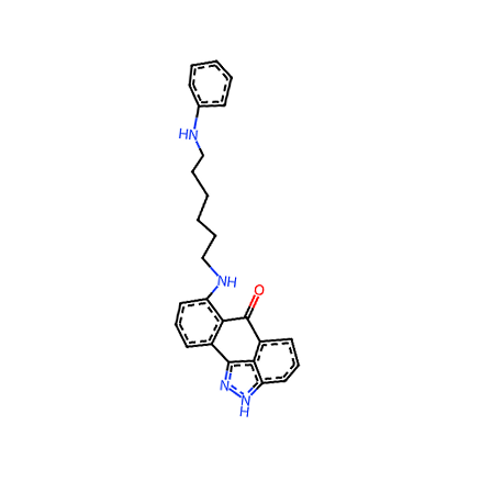 O=C1c2c(NCCCCCCNc3ccccc3)cccc2-c2n[nH]c3cccc1c23